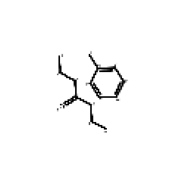 CCCC(=O)CCC.Cc1ccccc1